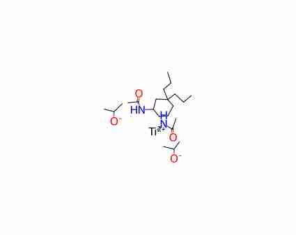 CC(=O)[NH][Ti+2].CC(C)[O-].CC(C)[O-].CCCC1(CCC)CCCC(NC(C)=O)C1